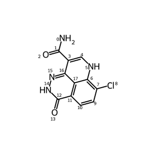 NC(=O)C1=CNc2c(Cl)ccc3c(=O)[nH]nc1c23